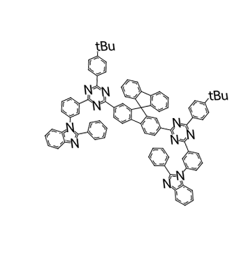 CC(C)(C)c1ccc(-c2nc(-c3cccc(-n4c(-c5ccccc5)nc5ccccc54)c3)nc(-c3ccc4c(c3)C3(c5ccccc5-c5ccccc53)c3cc(-c5nc(-c6ccc(C(C)(C)C)cc6)nc(-c6cccc(-n7c(-c8ccccc8)nc8ccccc87)c6)n5)ccc3-4)n2)cc1